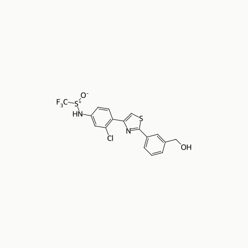 [O-][S+](Nc1ccc(-c2csc(-c3cccc(CO)c3)n2)c(Cl)c1)C(F)(F)F